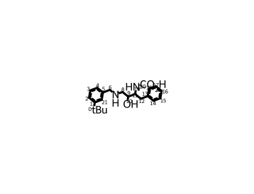 CC(C)(C)c1cccc(CNCC(O)C(Cc2ccccc2)NC(=O)O)c1